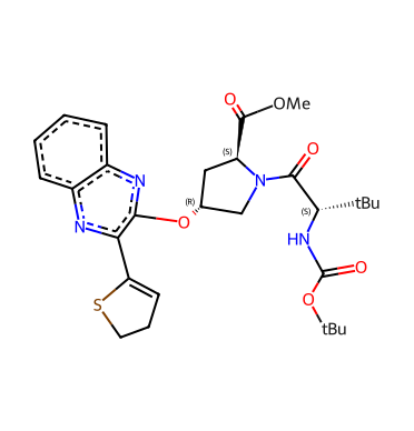 COC(=O)[C@@H]1C[C@@H](Oc2nc3ccccc3nc2C2=CCCS2)CN1C(=O)[C@@H](NC(=O)OC(C)(C)C)C(C)(C)C